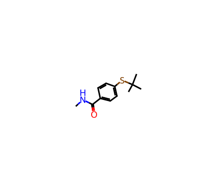 CNC(=O)c1ccc(SC(C)(C)C)cc1